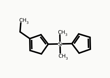 CCC1=CCC([Si](C)(C)C2=CC=CC2)=C1